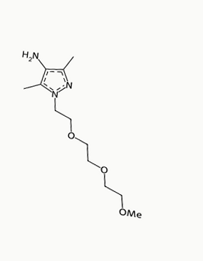 COCCOCCOCCn1nc(C)c(N)c1C